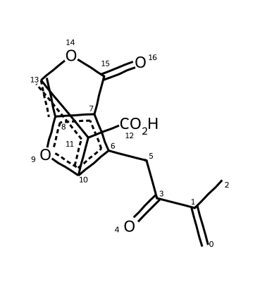 C=C(C)C(=O)Cc1c2c3oc1c(C(=O)O)c3OC2=O